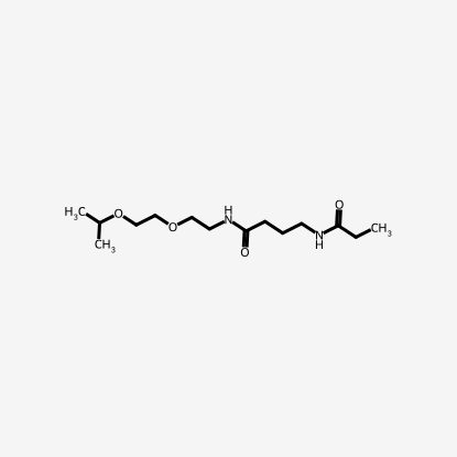 CCC(=O)NCCCC(=O)NCCOCCOC(C)C